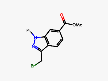 COC(=O)c1ccc2c(CBr)nn(C(C)C)c2c1